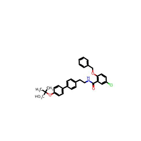 CC(C)(Oc1ccc(-c2ccc(CCNC(=O)c3cc(Cl)ccc3OCc3ccccc3)cc2)cc1)C(=O)O